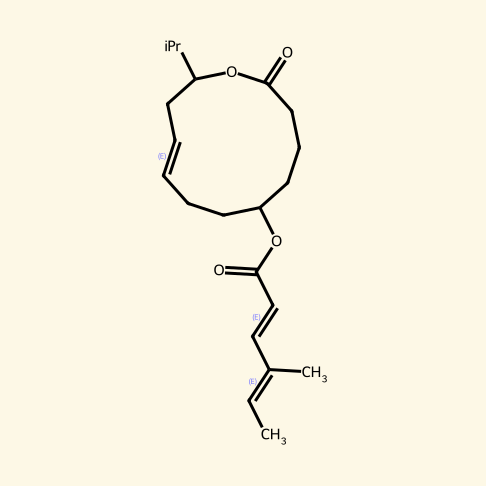 C/C=C(C)/C=C/C(=O)OC1CC/C=C/CC(C(C)C)OC(=O)CCC1